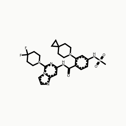 CS(=O)(=O)Nc1ccc(C(=O)Nc2cc3nccn3c(N3CCC(F)(F)CC3)n2)c(N2CCC3(CC2)CC3)c1